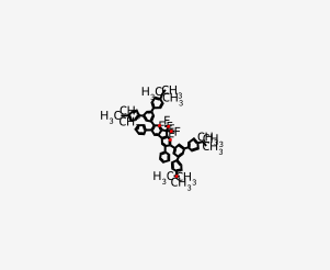 CC(C)(C)c1ccc(-c2cc(-c3ccc(C(C)(C)C)cc3)cc(-c3cc4c(cc3-c3ccccc3)-c3cc(-c5ccccc5)c(-c5cc(-c6ccc(C(C)(C)C)cc6)cc(-c6ccc(C(C)(C)C)cc6)c5)cc3C4(C(F)(F)F)C(F)(F)F)c2)cc1